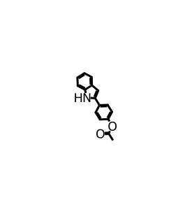 CC(=O)Oc1ccc(-c2cc3ccccc3[nH]2)cc1